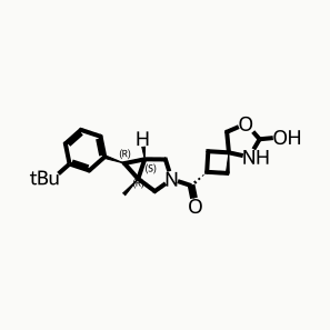 CC(C)(C)c1cccc([C@H]2[C@@H]3CN(C(=O)[C@H]4C[C@]5(COC(O)N5)C4)C[C@@]32C)c1